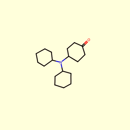 O=C1CCC(N(C2CCCCC2)C2CCCCC2)CC1